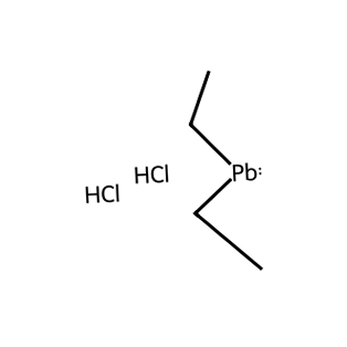 C[CH2][Pb][CH2]C.Cl.Cl